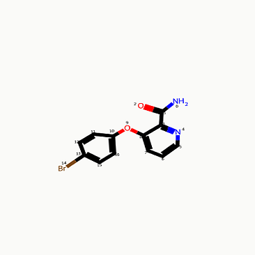 NC(=O)c1ncccc1Oc1ccc(Br)cc1